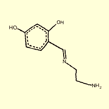 NCCN=Cc1ccc(O)cc1O